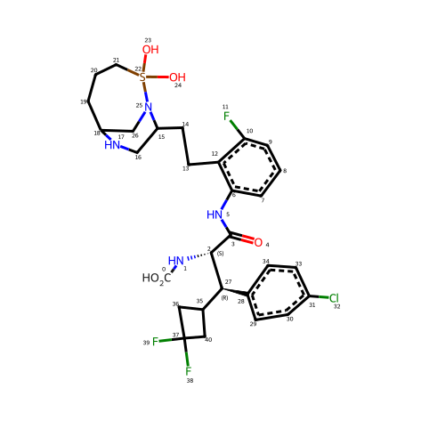 O=C(O)N[C@H](C(=O)Nc1cccc(F)c1CCC1CNC2CCCS(O)(O)N1C2)[C@@H](c1ccc(Cl)cc1)C1CC(F)(F)C1